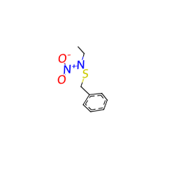 CCN(SCc1ccccc1)[N+](=O)[O-]